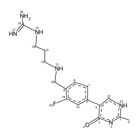 Cc1nc(=O)c(-c2ccc(CNCCCNC(=N)N)c(F)c2)c[nH]1